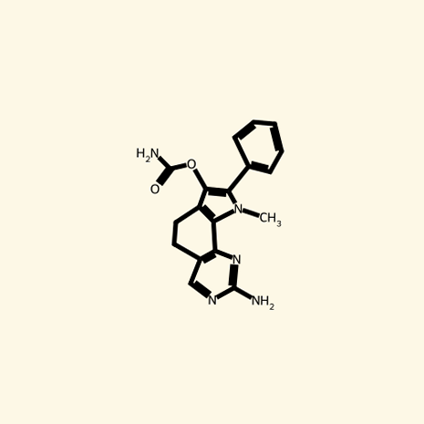 Cn1c2c(c(OC(N)=O)c1-c1ccccc1)CCc1cnc(N)nc1-2